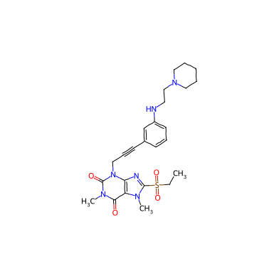 CCS(=O)(=O)c1nc2c(c(=O)n(C)c(=O)n2CC#Cc2cccc(NCCN3CCCCC3)c2)n1C